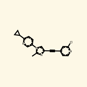 Cc1nc(C#Cc2ccnc(Cl)c2)cn1-c1ccc(C2CC2)nc1